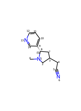 CN1CC(CC#N)C[C@H]1c1cccnc1